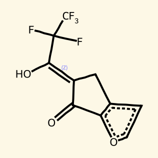 O=C1/C(=C(\O)C(F)(F)C(F)(F)F)Cc2ccoc21